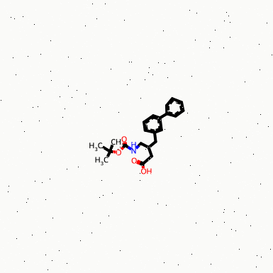 CC(C)(C)OC(=O)NCC(CC(=O)O)Cc1cccc(-c2ccccc2)c1